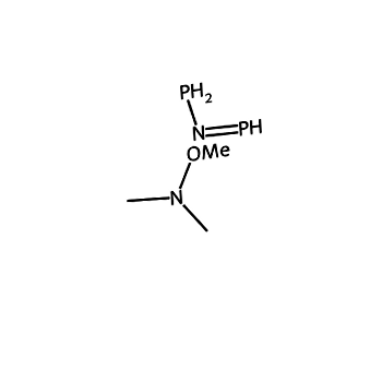 CON(C)C.P=NP